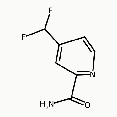 NC(=O)c1cc(C(F)F)ccn1